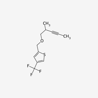 CC#CC(C)COCc1cc(C(F)(F)F)cs1